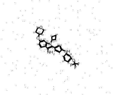 Nc1c(-c2ccc(Nc3cccc(OC(F)(F)F)c3)cc2)n(C2CCC2)c2cc(OC3CCOCC3)ccc12